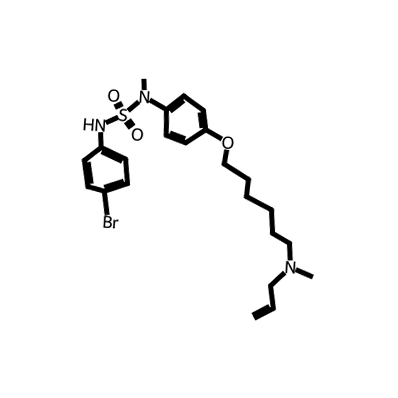 C=CCN(C)CCCCCCOc1ccc(N(C)S(=O)(=O)Nc2ccc(Br)cc2)cc1